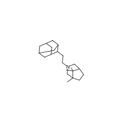 CC12CCC(CN(CCC3C4CC5CC(C4)CC3C5)C1)C2(C)C